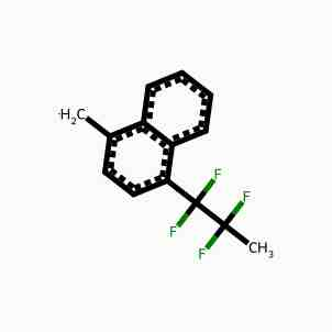 [CH2]c1ccc(C(F)(F)C(C)(F)F)c2ccccc12